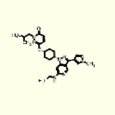 CCNc1cc2c(cn1)c(-c1cnn(C)c1)nn2[C@H]1CC[C@@H](Oc2ccc(=O)n(CC(C)C)n2)CC1